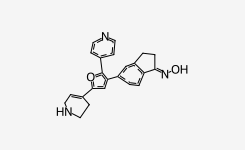 ON=C1CCc2cc(-c3cc(C4=CCNCC4)oc3-c3ccncc3)ccc21